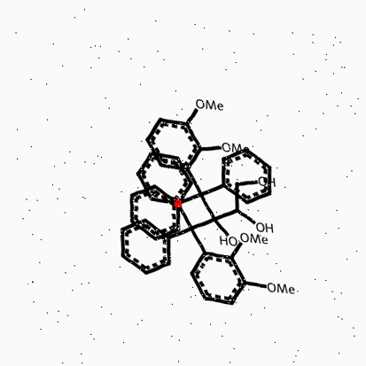 COc1cccc(C(c2ccccc2)(c2ccccc2)C(O)(C(O)CO)C(c2ccccc2)(c2ccccc2)c2cccc(OC)c2OC)c1OC